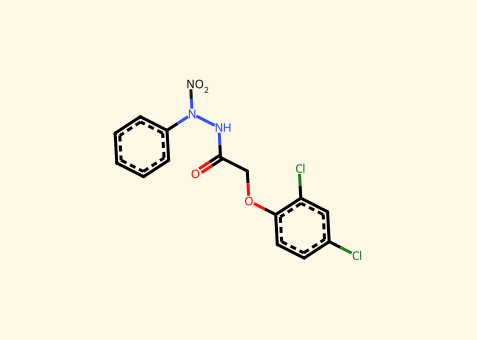 O=C(COc1ccc(Cl)cc1Cl)NN(c1ccccc1)[N+](=O)[O-]